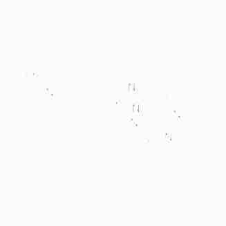 N#CC(c1ccnc(OCc2ccc(CN3CCOCC3)cc2)n1)(c1nc2ccccc2s1)c1nc2ccccc2s1